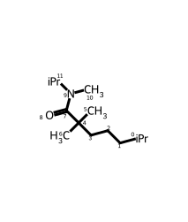 CC(C)CCCC(C)(C)C(=O)N(C)C(C)C